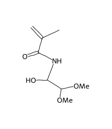 C=C(C)C(=O)NC(O)C(OC)OC